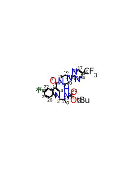 CC(Cn1cc(C(=O)N2CCN(c3ncc(C(F)(F)F)cn3)CC2)c2cc(F)ccc21)NC(=O)OC(C)(C)C